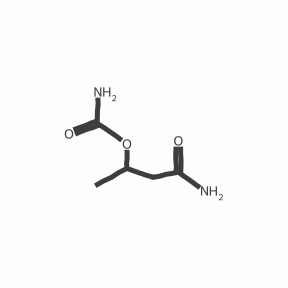 CC(CC(N)=O)OC(N)=O